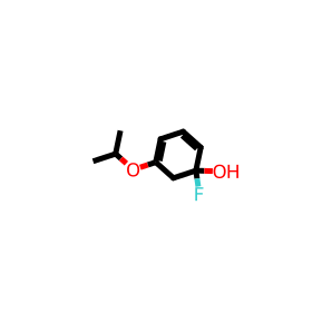 CC(C)OC1=CC=CC(O)(F)C1